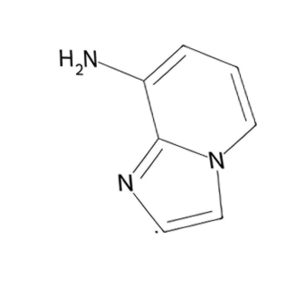 Nc1cccn2c[c]nc12